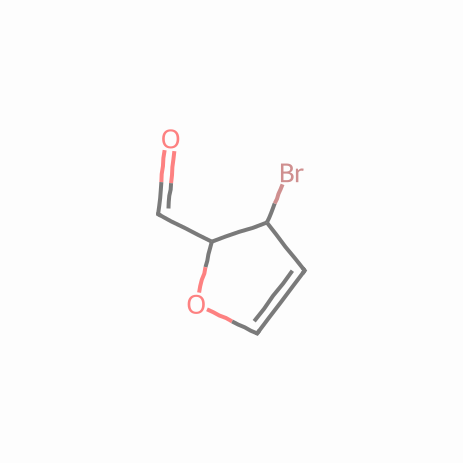 O=CC1OC=CC1Br